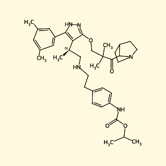 Cc1cc(C)cc(-c2[nH]nc(OCC(C)(C)C(=O)C3C4CCN3CC4)c2[C@H](C)CNCCc2ccc(NC(=O)OC(C)C)cc2)c1